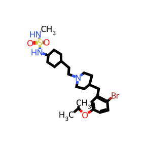 CNS(=O)(=O)NC1CCC(CCN2CCC(Cc3cc(OC(C)C)ccc3Br)CC2)CC1